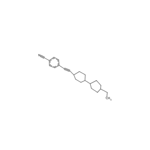 CCC1CCC(C2CCC(C#Cc3ccc(C#N)cc3)CC2)CC1